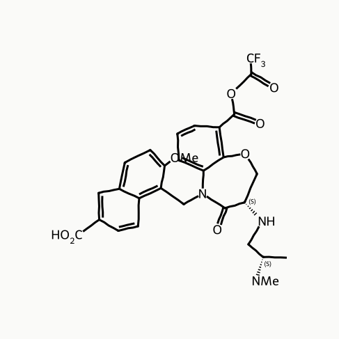 CN[C@@H](C)CN[C@H]1COc2c(C(=O)OC(=O)C(F)(F)F)cccc2N(Cc2c(OC)ccc3cc(C(=O)O)ccc23)C1=O